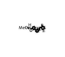 COCCNC(=O)c1cccc(-c2cccc3cc(Cc4cc(F)ccc4F)sc23)c1